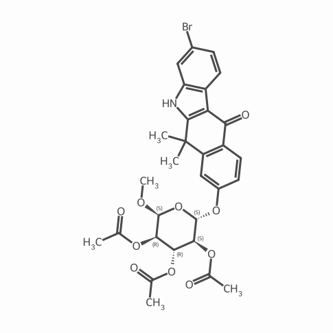 CO[C@H]1O[C@H](Oc2ccc3c(c2)C(C)(C)c2[nH]c4cc(Br)ccc4c2C3=O)[C@@H](OC(C)=O)[C@H](OC(C)=O)[C@H]1OC(C)=O